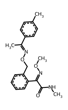 CNC(=O)/C(=N/OC)c1ccccc1CO/N=C(\C)c1ccc(C)cc1